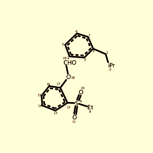 CC(C)Cc1ccccc1.CCS(=O)(=O)c1ccccc1OC=O